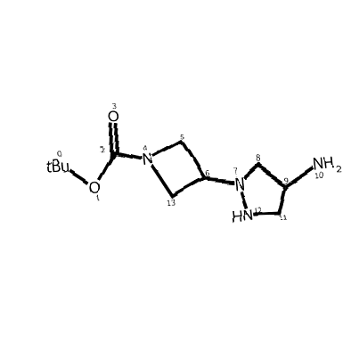 CC(C)(C)OC(=O)N1CC(N2CC(N)CN2)C1